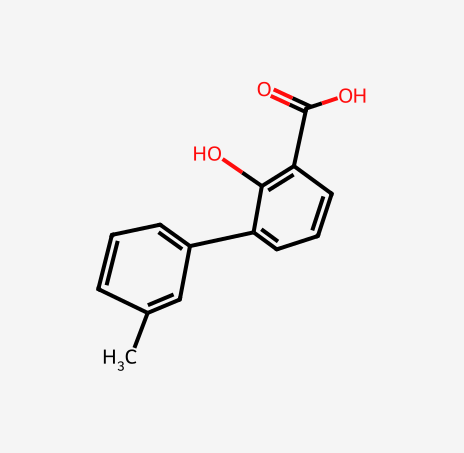 Cc1cccc(-c2cccc(C(=O)O)c2O)c1